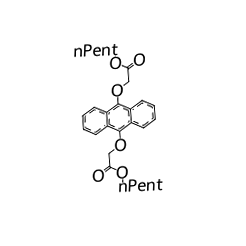 CCCCCOC(=O)COc1c2ccccc2c(OCC(=O)OCCCCC)c2ccccc12